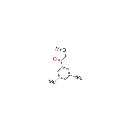 COCC(=O)c1cc(C(C)(C)C)cc(C(C)(C)C)c1